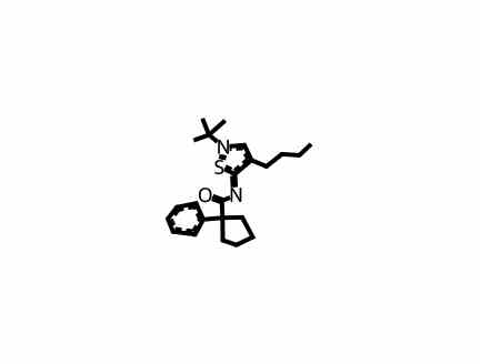 CCCCc1cn(C(C)(C)C)sc1=NC(=O)C1(c2ccccc2)CCCC1